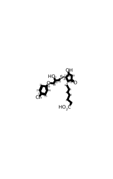 O=C(O)CCCCCC[C@H]1C(=O)CC(O)[C@@H]1SCC(O)COc1ccc(Cl)cc1